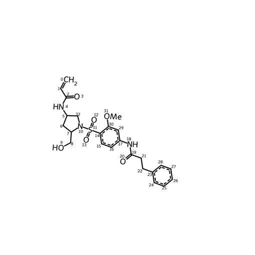 C=CC(=O)NC1CC(CO)N(S(=O)(=O)c2ccc(NC(=O)CCc3ccccc3)cc2OC)C1